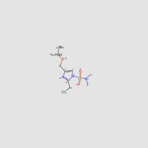 CN(C)S(=O)(=O)n1cc(CO[SiH](C)C(C)(C)C)nc1CCl